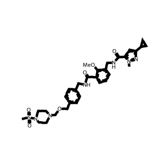 COc1c(CNC(=O)c2cc(C3CC3)nn2C)cccc1C(=O)NCc1ccc(COCN2CCN(S(C)(=O)=O)CC2)cc1